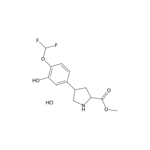 COC(=O)C1CC(c2ccc(OC(F)F)c(O)c2)CN1.Cl